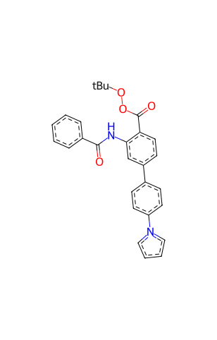 CC(C)(C)OOC(=O)c1ccc(-c2ccc(-n3cccc3)cc2)cc1NC(=O)c1ccccc1